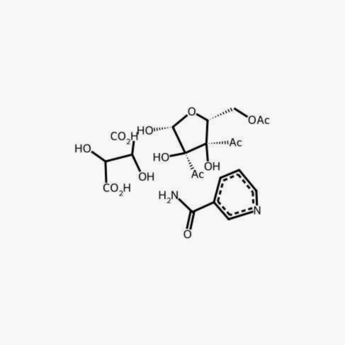 CC(=O)OC[C@H]1O[C@@H](O)[C@@](O)(C(C)=O)[C@@]1(O)C(C)=O.NC(=O)c1cccnc1.O=C(O)C(O)C(O)C(=O)O